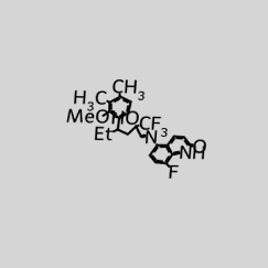 CCC(CC(O)(C=Nc1ccc(F)c2[nH]c(=O)ccc12)C(F)(F)F)c1ccc(C)c(C)c1OC